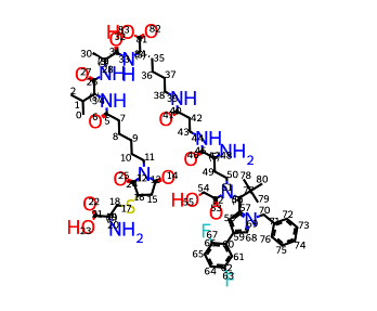 CC(C)[C@H](NC(=O)CCCCCN1C(=O)CC(SC[C@H](N)C(=O)O)C1=O)C(=O)N[C@@H](C)C(=O)N[C@@H](CCCCNC(=O)CCNC(=O)[C@@H](N)CCN(C(=O)CO)[C@@H](c1cc(-c2cc(F)ccc2F)cn1Cc1ccccc1)C(C)(C)C)C(=O)O